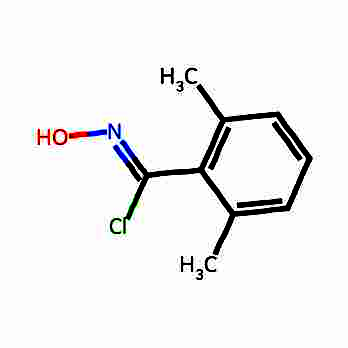 Cc1cccc(C)c1C(Cl)=NO